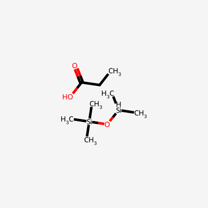 CCC(=O)O.C[SiH](C)O[Si](C)(C)C